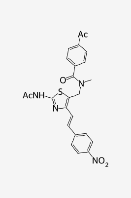 CC(=O)Nc1nc(C=Cc2ccc([N+](=O)[O-])cc2)c(CN(C)C(=O)c2ccc(C(C)=O)cc2)s1